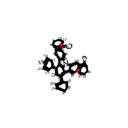 O=C1c2cc3c(cc2C2CCC1CC2)c1c(-c2ccccc2)cc(-c2ccccc2)c2c4cc5c(cc4n3c12)C(=O)C1CCC5CC1